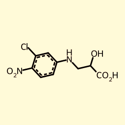 O=C(O)C(O)CNc1ccc([N+](=O)[O-])c(Cl)c1